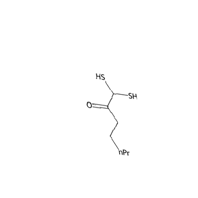 CCCCCC(=O)C(S)S